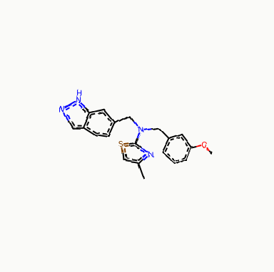 COc1cccc(CN(Cc2ccc3cn[nH]c3c2)c2nc(C)cs2)c1